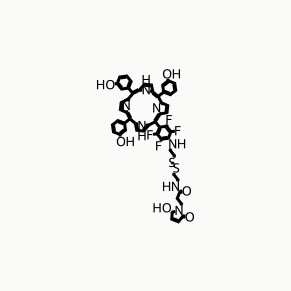 O=C(CCN1C(=O)C=CC1O)NCCSSCCNc1c(F)c(F)c(-c2c3nc(c(-c4cccc(O)c4)c4ccc([nH]4)c(-c4cccc(O)c4)c4nc(c(-c5cccc(O)c5)c5ccc2[nH]5)C=C4)C=C3)c(F)c1F